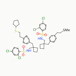 CSCCc1ccc(CC2(CNS(=O)(=O)c3ccc(Cl)cc3Cl)CCC2)cc1.O=S(=O)(NCC1(Cc2ccc(CCSC3CCCC3)cc2)CCC1)c1ccc(Cl)cc1Cl